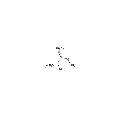 O.O=C([O][AlH2])[O][AlH2].[MgH2].[MgH2]